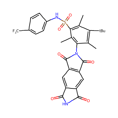 Cc1c(-n2c(=O)c3cc4c(=O)[nH]c(=O)c4cc3c2=O)c(C)c(S(=O)(=O)Nc2ccc(C(F)(F)F)cc2)c(C)c1C(C)(C)C